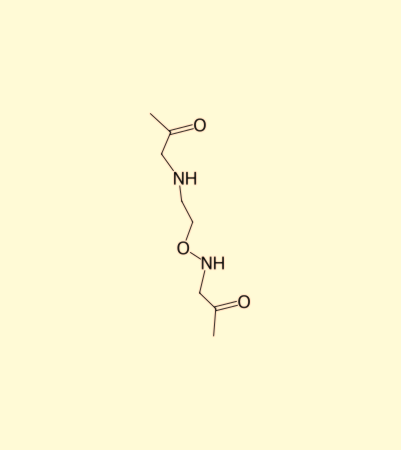 CC(=O)CNCCONCC(C)=O